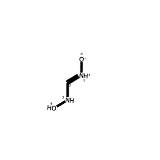 [O-][NH+]=CNO